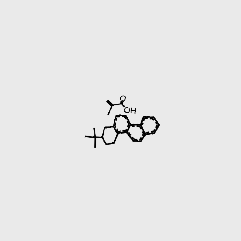 C=C(C)C(=O)O.CC(C)(C)C1CCc2c(ccc3c2ccc2ccccc23)C1